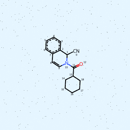 N#CC1c2ccccc2C=CN1C(=O)C1CCCCC1